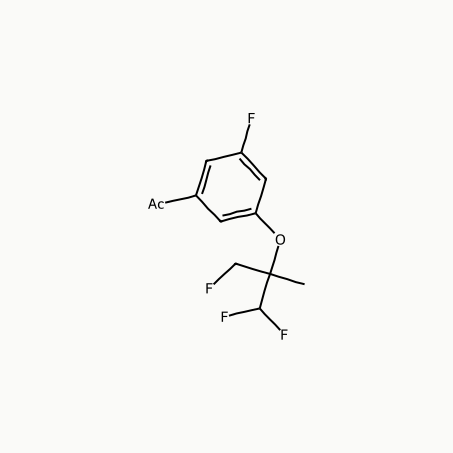 CC(=O)c1cc(F)cc(OC(C)(CF)C(F)F)c1